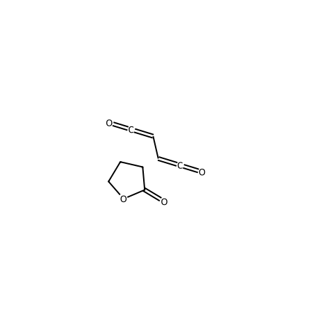 O=C1CCCO1.O=C=CC=C=O